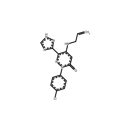 C=CCNc1cc(=O)n(-c2ccc(Cl)cc2)nc1-c1nc[nH]n1